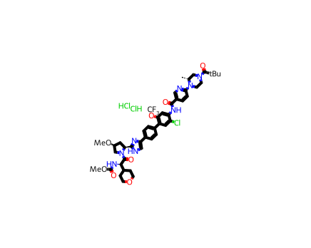 COC(=O)N[C@H](C(=O)N1C[C@@H](OC)C[C@H]1c1nc(-c2ccc(-c3cc(Cl)c(NC(=O)c4ccc(N5CCN(C(=O)C(C)(C)C)C[C@H]5C)nc4)cc3OC(F)(F)F)cc2)c[nH]1)C1CCOCC1.Cl.Cl